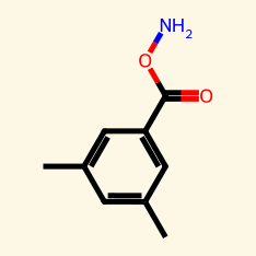 Cc1cc(C)cc(C(=O)ON)c1